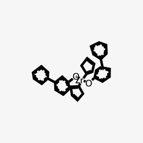 C1=CC[C]([Zr]([O]c2cccc(-c3ccccc3)c2)([O]c2cccc(-c3ccccc3)c2)[C]2=CC=CC2)=C1